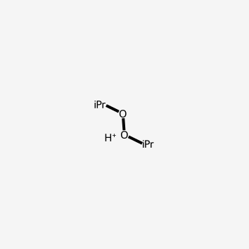 CC(C)OOC(C)C.[H+]